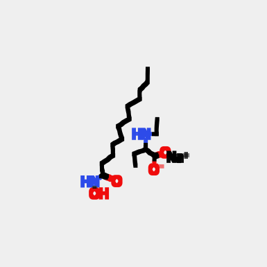 CCCCCCCCCCCC(=O)NO.CCNC(CC)C(=O)[O-].[Na+]